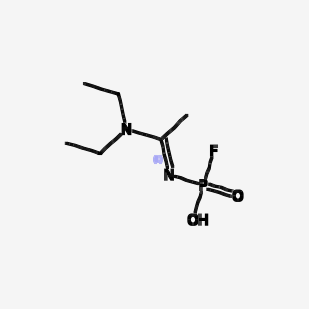 CCN(CC)/C(C)=N/P(=O)(O)F